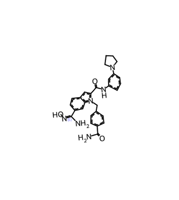 NC(=O)c1ccc(Cn2c(C(=O)Nc3cccc(N4CCCC4)c3)cc3ccc(/C(N)=N\O)cc32)cc1